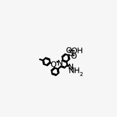 Cc1ccc(Oc2ccccc2-c2cc(=NN)c3cc(S(=O)(=O)O)ccc3n2C)cc1